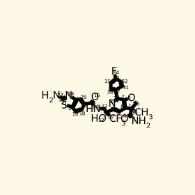 C[C@]1(C(N)=O)COc2c1cc(C(O)(CNC(=O)c1ccc3sc(N)nc3c1)C(F)(F)F)nc2-c1ccc(F)cc1